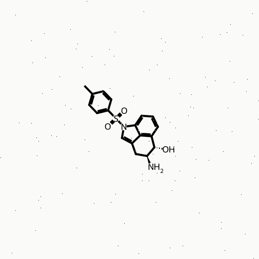 Cc1ccc(S(=O)(=O)n2cc3c4c(cccc42)[C@H](O)[C@@H](N)C3)cc1